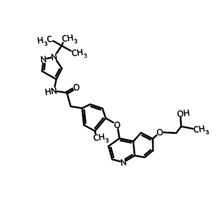 Cc1cc(CC(=O)Nc2cnn(C(C)(C)C)c2)ccc1Oc1ccnc2ccc(OCC(C)O)cc12